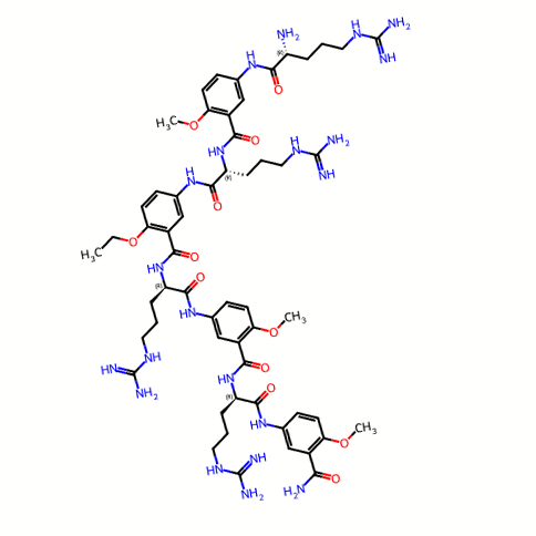 CCOc1ccc(NC(=O)[C@@H](CCCNC(=N)N)NC(=O)c2cc(NC(=O)[C@H](N)CCCNC(=N)N)ccc2OC)cc1C(=O)N[C@H](CCCNC(=N)N)C(=O)Nc1ccc(OC)c(C(=O)N[C@H](CCCNC(=N)N)C(=O)Nc2ccc(OC)c(C(N)=O)c2)c1